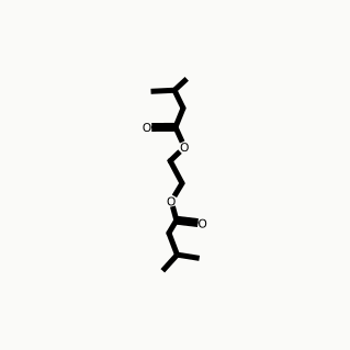 CC(C)CC(=O)OCCOC(=O)CC(C)C